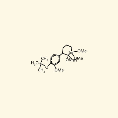 CCCC1(OC)C(c2ccc(O[Si](C)(C)C)c(OC)c2)CCC[Si]1(OC)OC